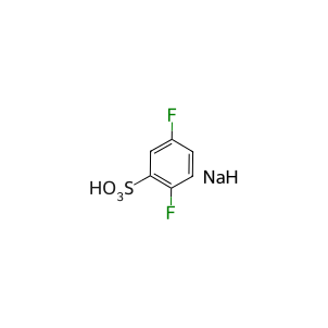 O=S(=O)(O)c1cc(F)ccc1F.[NaH]